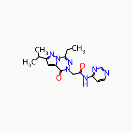 CCc1nn(CC(=O)Nc2ccncn2)c(=O)c2cc(C(C)C)nn12